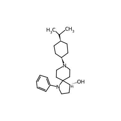 CC(C)[C@H]1CC[C@@H](N2CCC3(CC2)[C@H](O)CCN3c2ccccc2)CC1